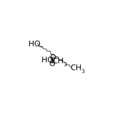 CCCCCCCCCCCCCCCCC=CO.CS(=O)(=O)O